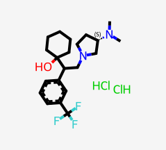 CN(C)[C@H]1CCN(CC(c2cccc(C(F)(F)F)c2)C2(O)CCCCC2)C1.Cl.Cl